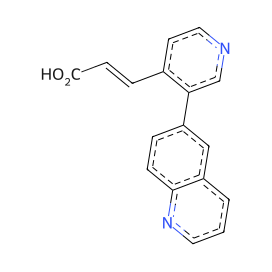 O=C(O)/C=C/c1ccncc1-c1ccc2ncccc2c1